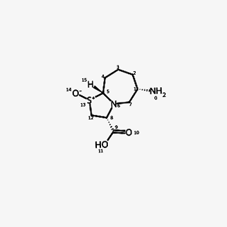 N[C@H]1CCC[C@@H]2N(C1)[C@H](C(=O)O)C[S+]2[O-]